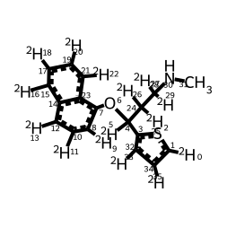 [2H]c1sc(C([2H])(Oc2c([2H])c([2H])c([2H])c3c([2H])c([2H])c([2H])c([2H])c23)C([2H])([2H])C([2H])([2H])NC)c([2H])c1[2H]